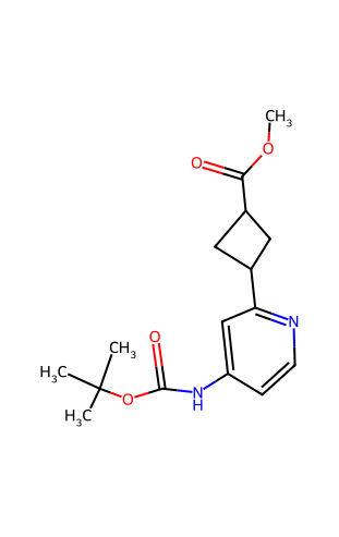 COC(=O)C1CC(c2cc(NC(=O)OC(C)(C)C)ccn2)C1